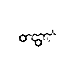 CN(C)CCC(N)CCCN(Cc1ccccc1)Cc1ccccc1